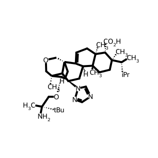 CC(C)[C@@H](C)[C@@]1(C)CC[C@]2(C)[C@H]3CC[C@@H]4[C@@]5(COC[C@]4(C)[C@@H](OC[C@](C)(N)C(C)(C)C)[C@H](n4cncn4)C5)C3=CC[C@@]2(C)[C@@H]1C(=O)O